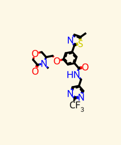 Cc1cnc(-c2cc(OCC3COCC(=O)N3C)cc(C(=O)NCc3cnc(C(F)(F)F)nc3)c2)s1